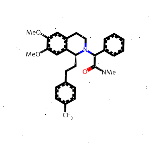 CNC(=O)C(c1ccccc1)N1CCc2cc(OC)c(OC)cc2[C@@H]1CCc1ccc(C(F)(F)F)cc1